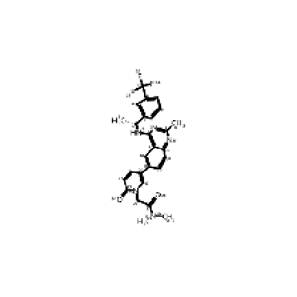 Cc1nc(N[C@H](C)c2cccc(C(F)(F)F)c2)c2cc(-c3ccc(=O)n(CC(=O)N(C)C)c3)ccc2n1